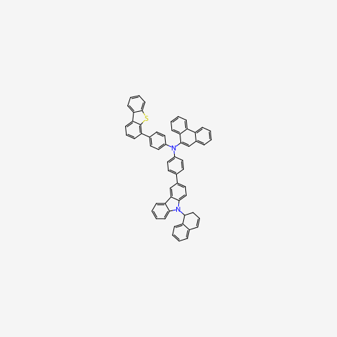 C1=Cc2ccccc2C(n2c3ccccc3c3cc(-c4ccc(N(c5ccc(-c6cccc7c6sc6ccccc67)cc5)c5cc6ccccc6c6ccccc56)cc4)ccc32)C1